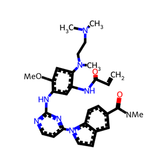 C=CC(=O)Nc1cc(Nc2nccc(-n3ccc4cc(C(=O)NC)ccc43)n2)c(OC)cc1N(C)CCN(C)C